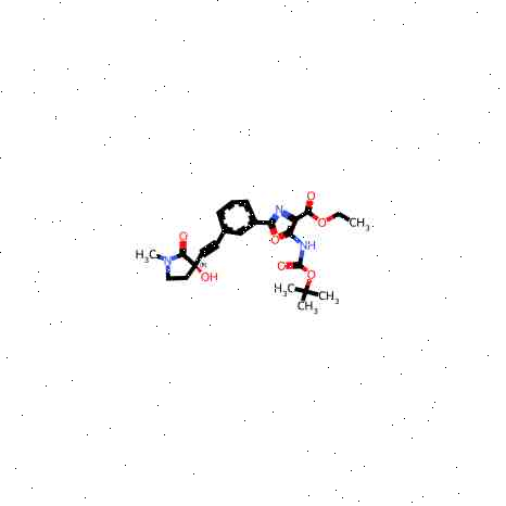 CCOC(=O)c1nc(-c2cccc(C#C[C@]3(O)CCN(C)C3=O)c2)oc1NC(=O)OC(C)(C)C